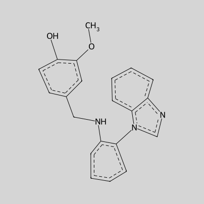 COc1cc(CNc2ccccc2-n2cnc3ccccc32)ccc1O